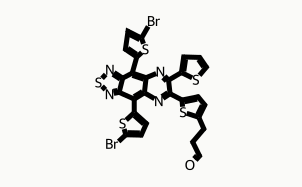 O=CCCc1ccc(-c2nc3c(-c4ccc(Br)s4)c4nsnc4c(-c4ccc(Br)s4)c3nc2-c2cccs2)s1